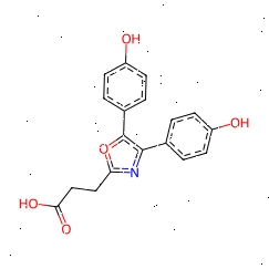 O=C(O)CCc1nc(-c2ccc(O)cc2)c(-c2ccc(O)cc2)o1